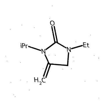 C=C1CN(CC)C(=O)N1C(C)C